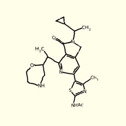 CC(=O)Nc1nc(C)c(-c2cc3c(c(C(C)C4CNCCO4)n2)C(=O)N(C(C)C2CC2)C3)s1